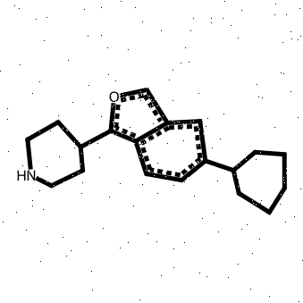 c1cc2c(C3CCNCC3)occ2cc1C1CCCCC1